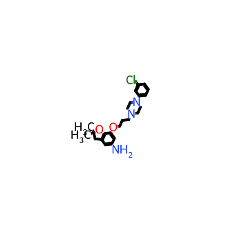 CC1(C)Cc2cc(N)cc(OCCCN3CCN(c4cccc(Cl)c4)CC3)c2O1